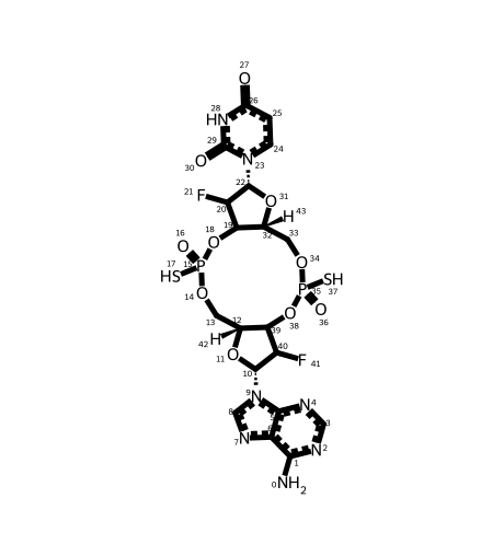 Nc1ncnc2c1ncn2[C@@H]1O[C@@H]2COP(=O)(S)OC3C(F)[C@H](n4ccc(=O)[nH]c4=O)O[C@@H]3COP(=O)(S)OC2C1F